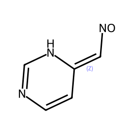 O=N/C=C1/C=CN=CN1